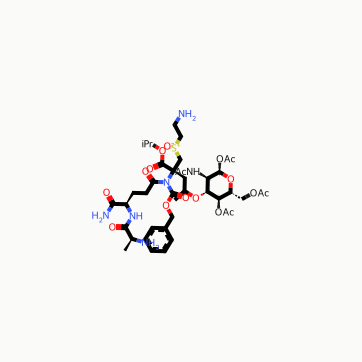 CC(=O)N[C@H]1[C@@H](OC(C)=O)O[C@H](COC(C)=O)[C@@H](OC(C)=O)[C@@H]1OC(C)C[C@](C[S+]([O-])CCN)(C(=O)OC(C)C)N(C(=O)CC[C@@H](NC(=O)[C@H](C)N)C(N)=O)C(=O)OCc1ccccc1